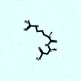 CC(=O)[C@H](CC(N)=O)NC(=O)[C@@H](C)CCCNC(=N)N